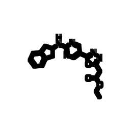 CCOC(=O)Cc1nnc(-c2cnc(NC3Cc4ccccc4C3)nc2)o1